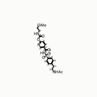 COCCNC(=O)Oc1ccc(C(=O)NS(=O)(=O)c2ccc(CCNC(C)=O)cc2)cn1